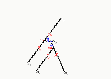 CCCCCCCCCCCCCCC(=O)OCCCCCC(O)C(CCCCOC(=O)CCCCCCCCCCCCCC)CNCCN(C)CCNCC(CCCCOC(=O)CCCCCCCCCCCCCC)C(O)CCCCCOC(=O)CCCCCCCCCCCCCC